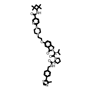 Cc1ncsc1-c1ccc(CNC(=O)[C@@H]2CCCN2C(=O)[C@H](C(C)C)N2Cc3ccc(OCCN4CCN(c5ccc(C(=O)NC6C(C)(C)CC6(C)C)cn5)CC4)cc3C2=O)cc1